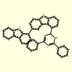 c1ccc(C2=NC(c3cccc4sc5ccc(-c6cccc7c6oc6ccccc67)cc5c34)NC(c3ccccc3)=N2)cc1